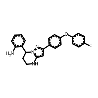 Nc1ccccc1C1CCNc2cc(-c3ccc(Oc4ccc(F)cc4)cc3)nn21